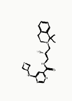 CC1(C)c2ccccc2CCN1C[C@@H](O)CNC(=O)c1cc(NC2COC2)ncn1